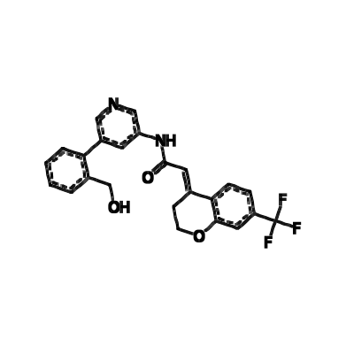 O=C(C=C1CCOc2cc(C(F)(F)F)ccc21)Nc1cncc(-c2ccccc2CO)c1